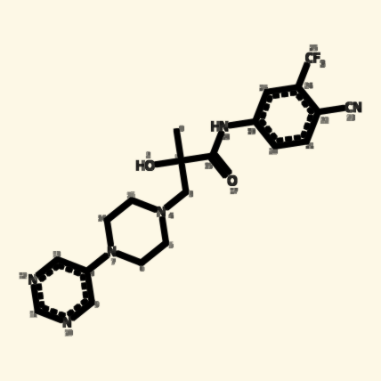 CC(O)(CN1CCN(c2cncnc2)CC1)C(=O)Nc1ccc(C#N)c(C(F)(F)F)c1